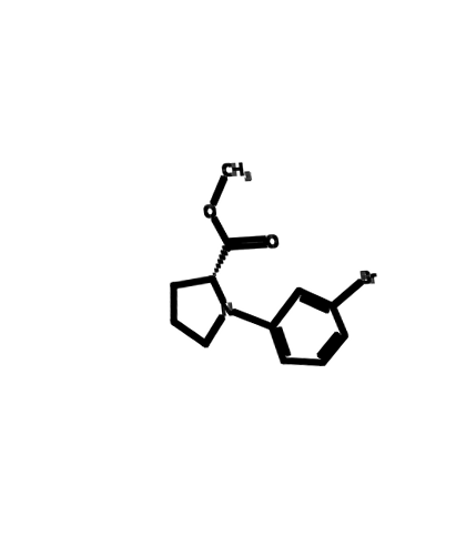 COC(=O)[C@H]1CCCN1c1cccc(Br)c1